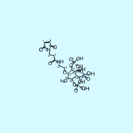 O=C(CCN1C(=O)C=CC1=O)NCCOC1C(O)C(OP(=O)(O)O)C(OP(=O)(O)O)C(O)C1OP(=O)(O)O